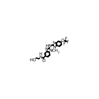 Cn1c(Nc2nc3ccc(OC(F)(F)F)cc3s2)nc2cc(C(=O)NCCO)ccc21